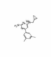 Cc1cc(C)cc(-c2cc(NCC3CC3)nc(N)n2)c1